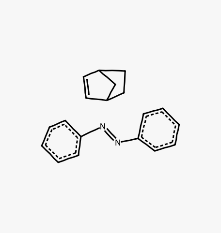 C1=CC2CCC1C2.c1ccc(N=Nc2ccccc2)cc1